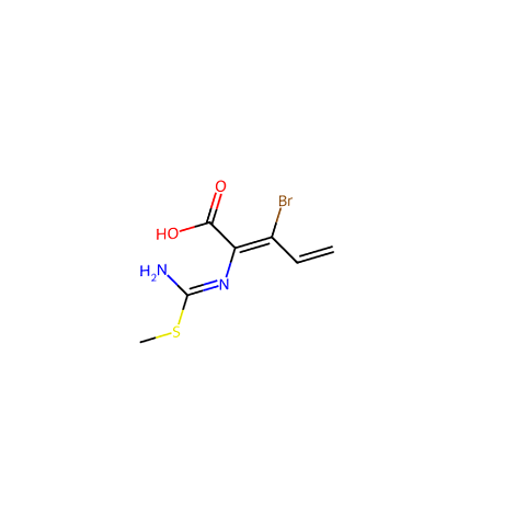 C=C/C(Br)=C(\N=C(/N)SC)C(=O)O